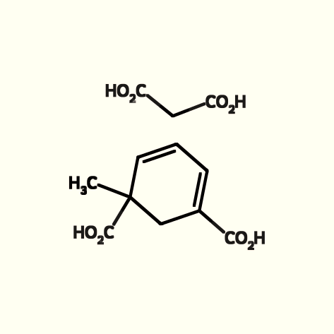 CC1(C(=O)O)C=CC=C(C(=O)O)C1.O=C(O)CC(=O)O